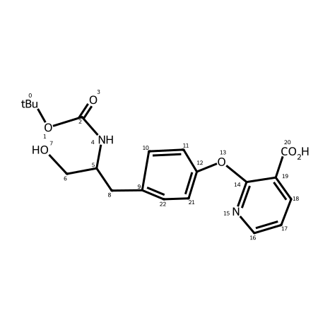 CC(C)(C)OC(=O)NC(CO)Cc1ccc(Oc2ncccc2C(=O)O)cc1